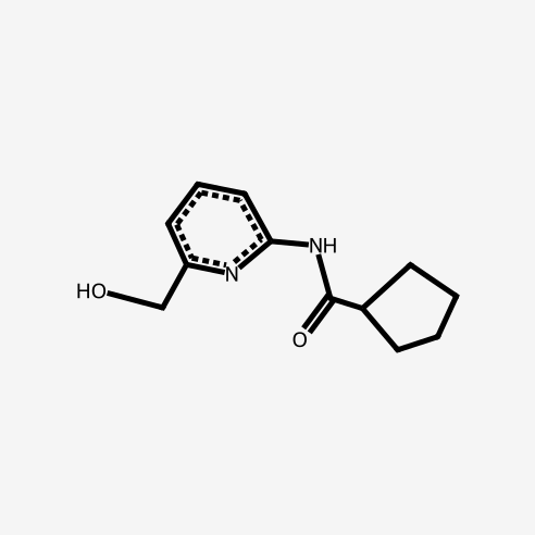 O=C(Nc1cccc(CO)n1)C1CCCC1